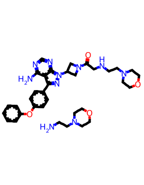 NCCN1CCOCC1.Nc1ncnc2c1c(-c1ccc(Oc3ccccc3)cc1)nn2C1CN(C(=O)CNCCN2CCOCC2)C1